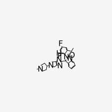 CC(On1nc(-c2nc3c([nH]2)CN(C2CCN(C)CC2)C3)c2ccccc21)c1cc(F)cc(F)c1